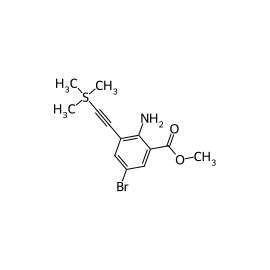 COC(=O)c1cc(Br)cc(C#CS(C)(C)C)c1N